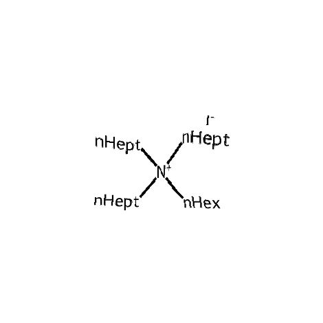 CCCCCCC[N+](CCCCCC)(CCCCCCC)CCCCCCC.[I-]